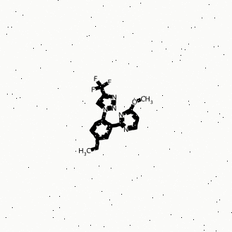 CCc1ccc(-n2cc(C(F)(F)F)nn2)c(-c2nccc(OC)n2)c1